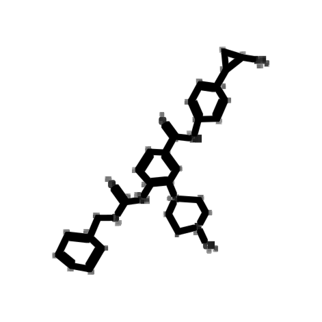 CN1CCN(c2cc(C(=O)Nc3ccc(C4CC4N)cc3)ccc2NC(=O)OCc2ccccc2)CC1